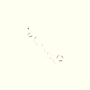 N#Cc1ccc(C(=O)N[C@H]2CC[C@H](CCN3CCN(c4nsc5ccccc45)CC3)CC2)o1